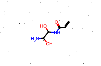 C=CC(=O)NC(O)C(N)O